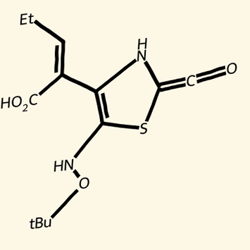 CC/C=C(\C(=O)O)C1=C(NOC(C)(C)C)SC(=C=O)N1